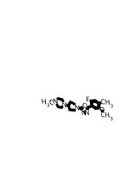 COc1cc(-c2nnc(N3CCC(N4CCN(C)CC4)CC3)o2)c(F)cc1C